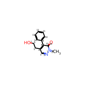 Cn1ncc(CCO)c(-c2ccccc2)c1=O